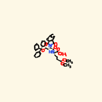 COC(CCC[C@H](NC(=O)[C@H](CCOC(c1ccccc1)(c1ccccc1)c1ccccc1)N1C(=O)c2ccccc2C1=O)C(=O)O)OC